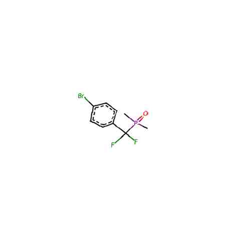 CP(C)(=O)C(F)(F)c1ccc(Br)cc1